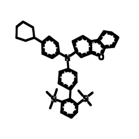 C[Si](C)(C)c1cccc([Si](C)(C)C)c1-c1ccc(N(c2ccc(C3CCCCC3)cc2)c2ccc3c(c2)oc2ccccc23)cc1